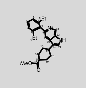 CCc1cccc(CC)c1-c1cc2c(C3CCC(C(=O)OC)CC3)c[nH]c2cn1